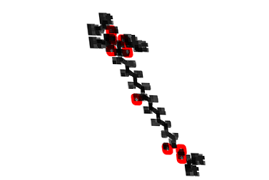 CCC(CC)OOC(=O)CCCCCCCC(=O)CCCCCCC(OC(CC)CC)(OC(CC)CC)C(=O)OOC(CC)CC